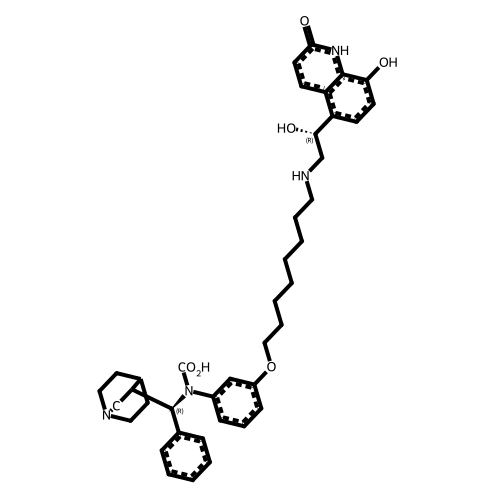 O=C(O)N(c1cccc(OCCCCCCCCNC[C@H](O)c2ccc(O)c3[nH]c(=O)ccc23)c1)[C@@H](c1ccccc1)C1CN2CCC1CC2